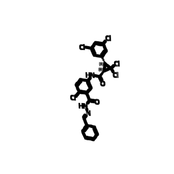 O=C(NN=Cc1ccccc1)c1cc(NC(=O)[C@H]2[C@H](c3cc(Cl)cc(Cl)c3)C2(Cl)Cl)ccc1Cl